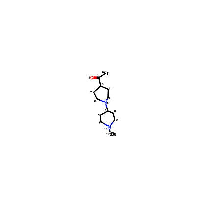 CCC(=O)C1CCN(C2CCN(C(C)(C)C)CC2)CC1